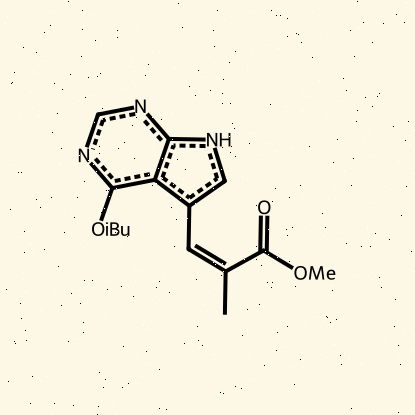 COC(=O)C(C)=Cc1c[nH]c2ncnc(OCC(C)C)c12